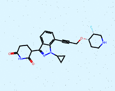 O=C1CCC(c2nn(C3CC3)c3c(C#CCO[C@H]4CCNC[C@H]4F)cccc23)C(=O)N1